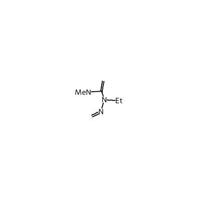 C=NN(CC)C(=C)NC